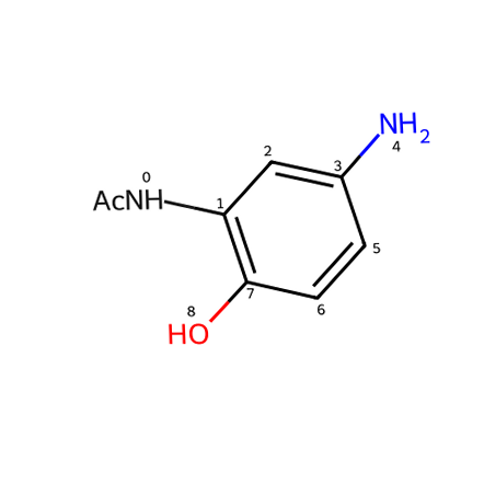 CC(=O)Nc1cc(N)ccc1O